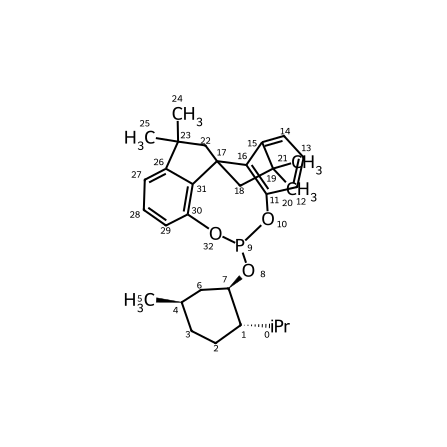 CC(C)[C@@H]1CC[C@@H](C)C[C@H]1OP1Oc2cccc3c2C2(CC3(C)C)CC(C)(C)c3cccc(c32)O1